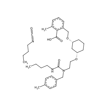 CCCCN=C=O.CCCCNC(=O)N(CCO[C@H]1CCC[C@@H](OCc2cccc(C)c2C(=O)O)C1)Cc1ccc(C)cc1